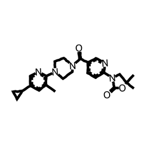 Cc1cc(C2CC2)cnc1N1CCN(C(=O)c2ccc(N3CC(C)(C)OC3=O)nc2)CC1